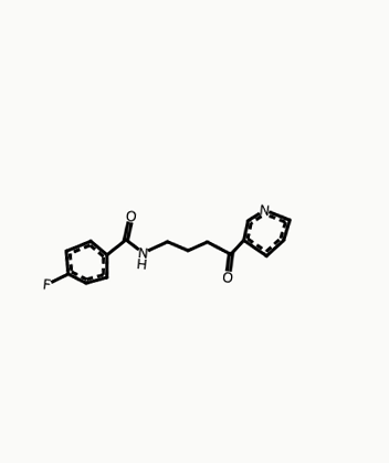 O=C(CCCNC(=O)c1ccc(F)cc1)c1cccnc1